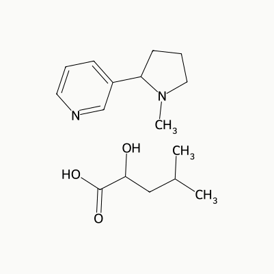 CC(C)CC(O)C(=O)O.CN1CCCC1c1cccnc1